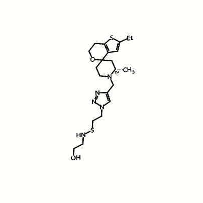 CCc1cc2c(s1)CCOC21CCN(Cc2cn(CCSNCCO)nn2)[C@@H](C)C1